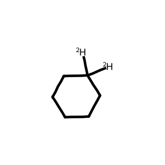 [2H]C1([2H])CCCCC1